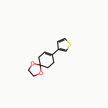 C1=C(c2ccsc2)CCC2(C1)OCCO2